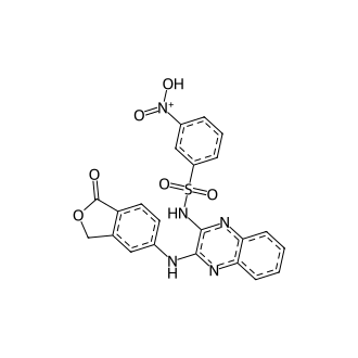 O=C1OCc2cc(Nc3nc4ccccc4nc3NS(=O)(=O)c3cccc([N+](=O)O)c3)ccc21